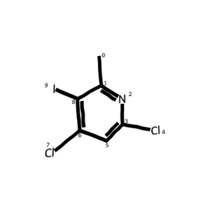 Cc1nc(Cl)cc(Cl)c1I